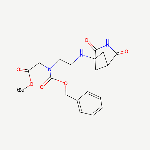 CC(C)(C)OC(=O)CN(CCNC12CC(C1)C(=O)NC2=O)C(=O)OCc1ccccc1